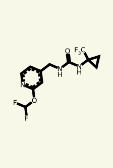 O=C(NCc1ccnc(OC(F)F)c1)NC1(C(F)(F)F)CC1